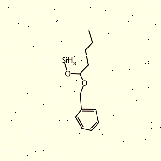 CCCCC(O[SiH3])OCc1ccccc1